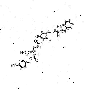 CC(C)(C)c1ccc(COC(=O)NC(CNC(=O)CN2C(=O)CN(CCCNc3nc4ccccc4[nH]3)C2=O)C(=O)O)cc1